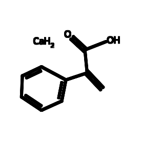 C=C(C(=O)O)c1ccccc1.[CaH2]